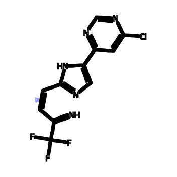 N=C(/C=C\c1ncc(-c2cc(Cl)ncn2)[nH]1)C(F)(F)F